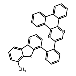 Cc1cccc2c1sc1c(-c3ccccc3-c3cnc4c5ccccc5c5ccccc5c4n3)cccc12